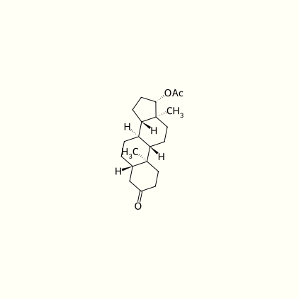 CC(=O)O[C@H]1CC[C@H]2[C@@H]3CC[C@H]4CC(=O)CC[C@]4(C)[C@H]3CC[C@]12C